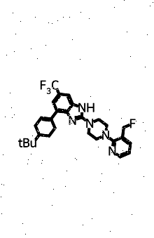 CC(C)(C)C1CC=C(c2cc(C(F)(F)F)cc3[nH]c(N4CCN(c5ncccc5CF)CC4)nc23)CC1